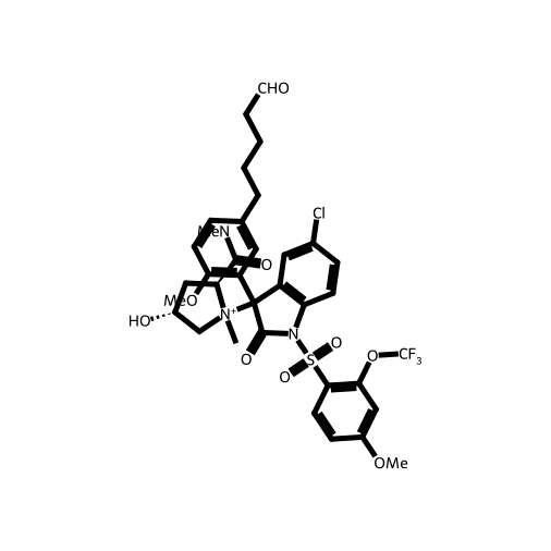 CNC(=O)[C@@H]1C[C@@H](O)C[N+]1(C)C1(c2cc(CCCCC=O)ccc2OC)C(=O)N(S(=O)(=O)c2ccc(OC)cc2OC(F)(F)F)c2ccc(Cl)cc21